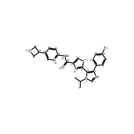 CC(C)n1cnc(-c2ccc(F)cc2)c1-c1nc(C(=O)Nc2ccc(C3COC3)cn2)cs1